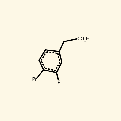 CC(C)c1ccc(CC(=O)O)cc1F